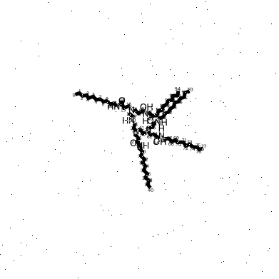 CCCCCCCCCCCCNC(=O)CCN(CCNCCN(CCC(=O)NCCCCCCCCCCCC)CCN(CCC(=O)NCCCCCCCCCCCC)CCC(O)NCCCCCCCCCCCC)CCC(O)NCCCCCCCCCCCC